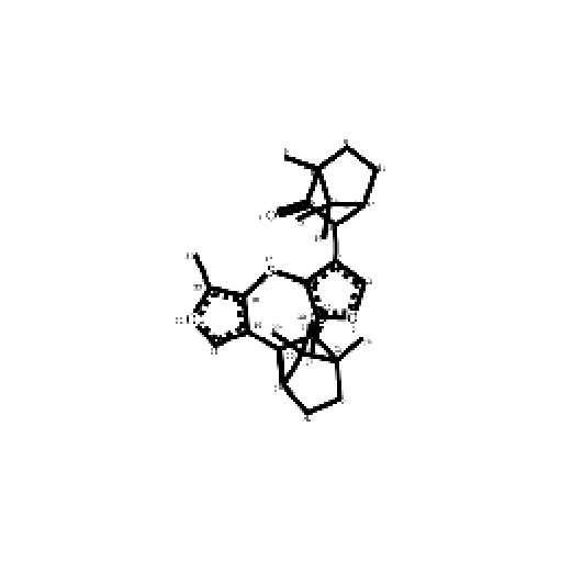 Cc1occ(C2C(=O)C3(C)CCC2C3(C)C)c1Sc1c(C2C(=O)C3(C)CCC2C3(C)C)coc1C